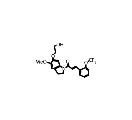 COc1cc2c(cc1OCCO)N(C(=O)C=Cc1ccccc1OC(F)(F)F)CC2